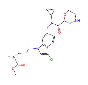 COC(=O)N(C)CCCn1cc(Cl)c2ccc(CN(C(=O)C3CNCCO3)C3CC3)cc21